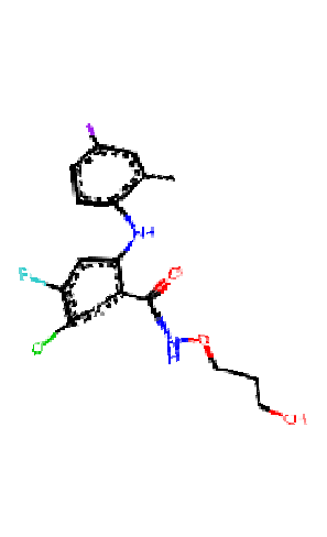 Cc1cc(I)ccc1Nc1cc(F)c(Cl)cc1C(=O)NOCCCO